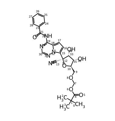 CC(C)(C)C(=O)OCOC[C@H]1O[C@@](C#N)(c2ccc3c(NC(=O)c4ccccc4)ncnn23)[C@H](O)[C@@H]1O